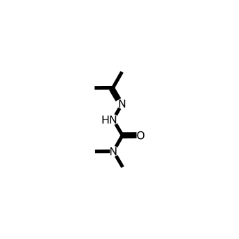 CC(C)=NNC(=O)N(C)C